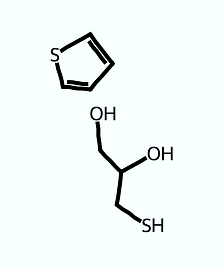 OCC(O)CS.c1ccsc1